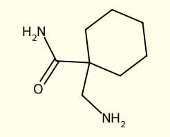 NCC1(C(N)=O)CCCCC1